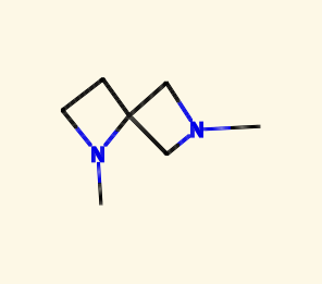 CN1CC2(CCN2C)C1